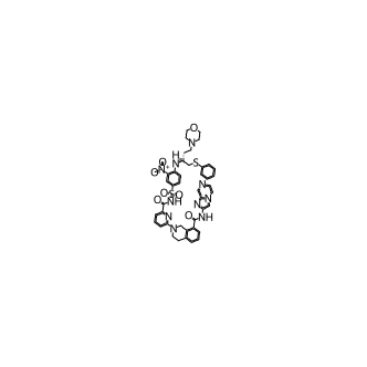 O=C(NS(=O)(=O)c1ccc(N[C@H](CCN2CCOCC2)CSc2ccccc2)c([N+](=O)[O-])c1)c1cccc(N2CCc3cccc(C(=O)Nc4cn5ccncc5n4)c3C2)n1